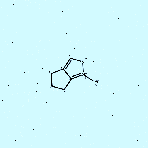 CC(C)[n+]1scc2c1CCC2